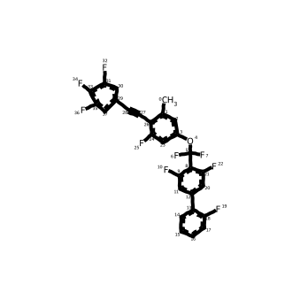 Cc1cc(OC(F)(F)c2c(F)cc(-c3ccccc3F)cc2F)cc(F)c1C#Cc1cc(F)c(F)c(F)c1